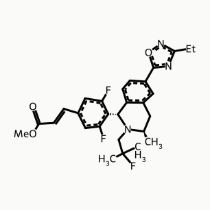 CCc1noc(-c2ccc3c(c2)C[C@@H](C)N(CC(C)(C)F)[C@@H]3c2c(F)cc(/C=C/C(=O)OC)cc2F)n1